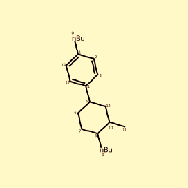 CCCCc1ccc(C2CCC(CCCC)C(C)C2)cc1